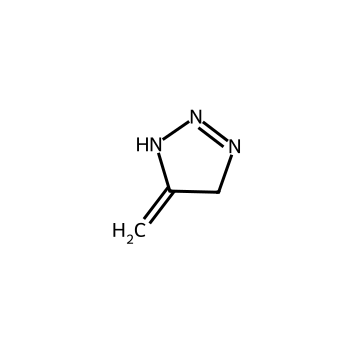 C=C1CN=NN1